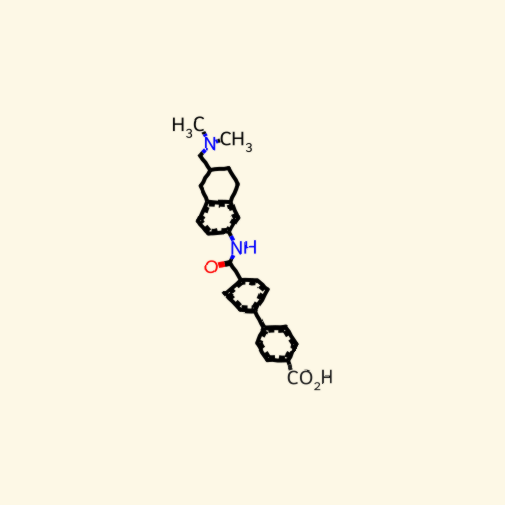 CN(C)CC1CCc2cc(NC(=O)c3ccc(-c4ccc(C(=O)O)cc4)cc3)ccc2C1